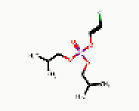 CC(C)COP(=O)(OC=CCl)OCC(C)C